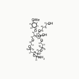 COc1ccc(OCC(O)COCCOC(C)(C)CCOC(C)(N)C(C)(C)COC(C)(C)CCOCC(O)COCCCCO)cc1